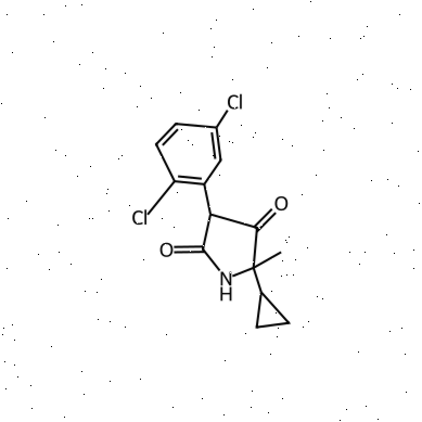 CC1(C2CC2)NC(=O)C(c2cc(Cl)ccc2Cl)C1=O